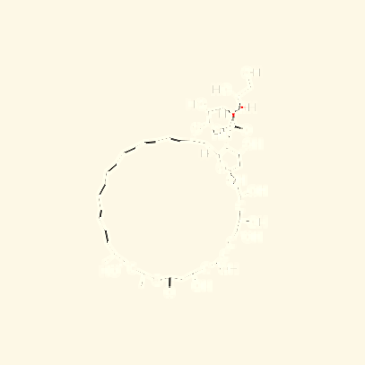 C[C@H]1C[C@H](O)[C@@H](C)/C=C/C=C/C=C/C=C/C=C/C=C/C=C/[C@H](O[C@@H]2OC[C@@H](O)C[C@@H]2O)C[C@@H]2O[C@](O)(C[C@@H](O)C[C@@H](O)[C@H](O)CC[C@@H](O)C[C@@H](O)CC(=O)O1)C[C@H](O)[C@H]2NC(=O)NC[C@H](O)CO